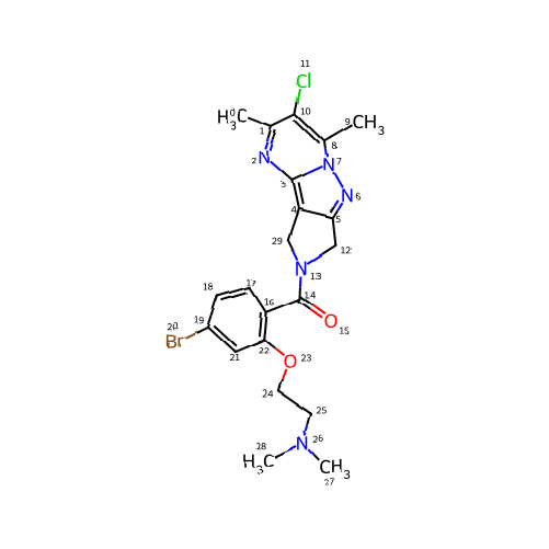 Cc1nc2c3c(nn2c(C)c1Cl)CN(C(=O)c1ccc(Br)cc1OCCN(C)C)C3